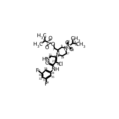 CC(C)S(=O)(=O)OCC1CN(S(=O)(=O)C(C)C)CCN1/C(C=N)=C(\Cl)C(=O)Nc1cc(F)cc(F)c1